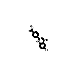 COC(=O)c1ccc(CNc2ccc(Cl)cc2[N+](=O)[O-])cc1